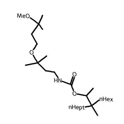 CCCCCCCC(C)(CCCCCC)C(C)OC(=O)NCCC(C)(C)OCCC(C)(C)OC